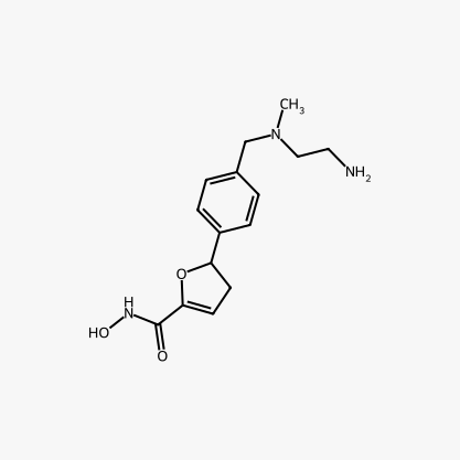 CN(CCN)Cc1ccc(C2CC=C(C(=O)NO)O2)cc1